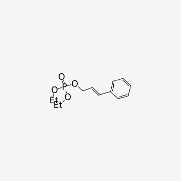 CCOP(=O)(OCC)OC/C=C/c1ccccc1